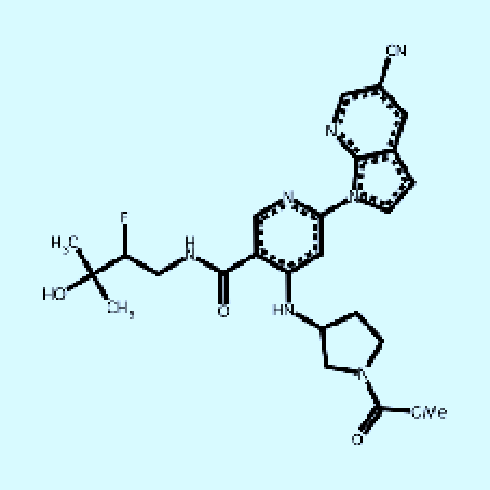 COC(=O)N1CCC(Nc2cc(-n3ccc4cc(C#N)cnc43)ncc2C(=O)NCC(F)C(C)(C)O)C1